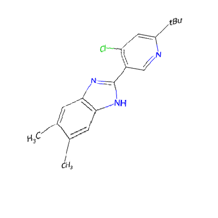 Cc1cc2nc(-c3cnc(C(C)(C)C)cc3Cl)[nH]c2cc1C